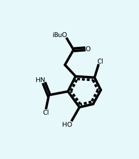 CC(C)COC(=O)Cc1c(Cl)ccc(O)c1C(=N)Cl